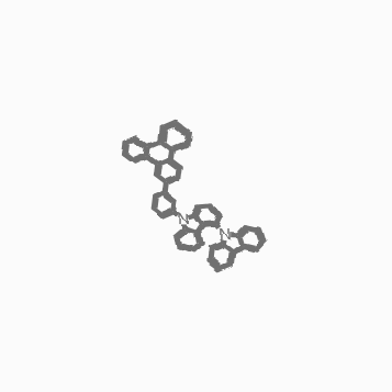 c1cc(-c2ccc3c4ccccc4c4ccccc4c3c2)cc(-n2c3ccccc3c3c(-n4c5ccccc5c5ccccc54)cccc32)c1